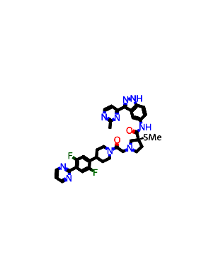 CS[C@@]1(C(=O)Nc2ccc3[nH]nc(-c4ccnc(C)n4)c3c2)CCN(CC(=O)N2CCC(c3cc(F)c(-c4ncccn4)cc3F)CC2)C1